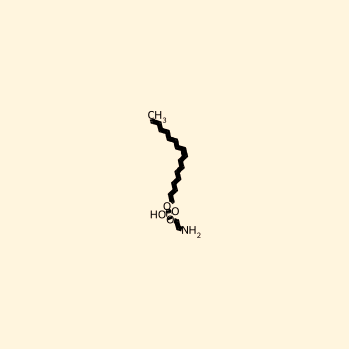 CCCCCCCC/C=C\CCCCCCCCOP(=O)(O)OCCN